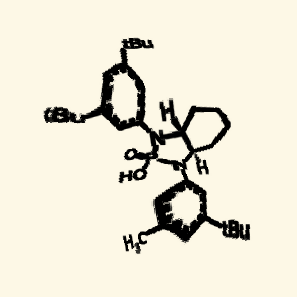 Cc1cc(N2[C@@H]3CCCC[C@H]3N(c3cc(C(C)(C)C)cc(C(C)(C)C)c3)P2(=O)O)cc(C(C)(C)C)c1